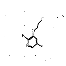 FCCOc1cc(F)cnc1F